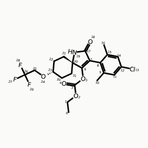 CCOC(=O)OC1=C(c2c(C)cc(Cl)cc2C)C(=O)N[C@]12CC[C@@H](OCC(F)(F)F)CC2